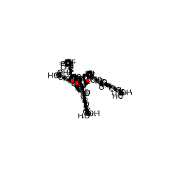 Cc1c(CN(C(=O)C2=C(c3ccc(CCCOc4c(F)ccc(F)c4Cl)cc3)CC3CN(C(=O)OCCOCCON(O)O)CC2N3C(=O)OCCOCCON(O)O)C2CC2)ccnc1OCCOC(=O)OCCOCCON(O)O